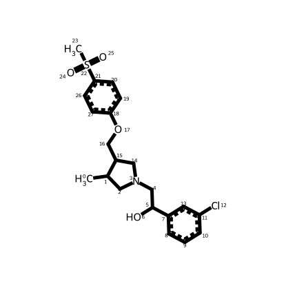 CC1CN(CC(O)c2cccc(Cl)c2)CC1COc1ccc(S(C)(=O)=O)cc1